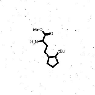 COC(=O)C(N)CCC1CCCC1C(C)(C)C